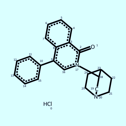 Cl.O=c1c2ccccc2c(-c2ccccc2)cn1C1CN2CCC1CC2